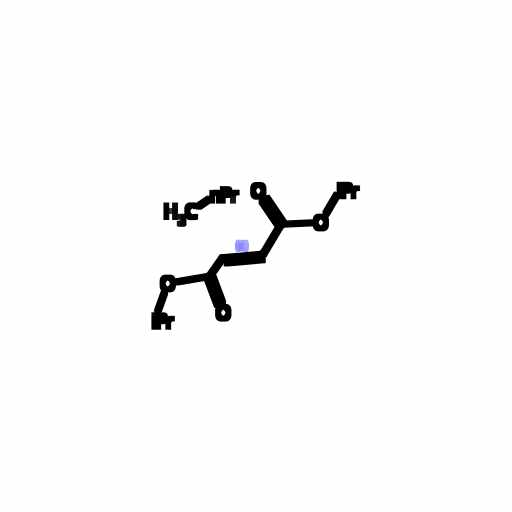 CC(C)OC(=O)/C=C/C(=O)OC(C)C.CCCC